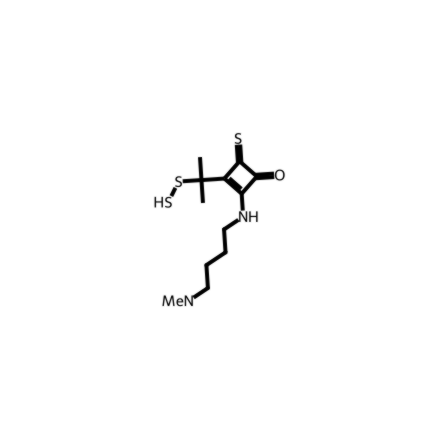 CNCCCCNc1c(C(C)(C)SS)c(=S)c1=O